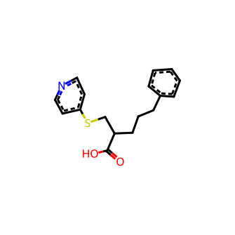 O=C(O)C(CCCc1ccccc1)CSc1ccncc1